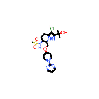 CC(C)(O)c1nn2c(c1Cl)CCC(NS(C)(=O)=O)C2COC1CCN(c2ncccn2)CC1